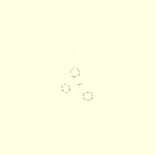 COC[C@H](C)Nc1nccc(N(C(=O)Nc2ccc(Cl)cc2)c2ccc(F)cc2)n1